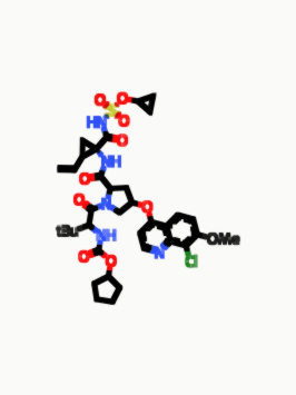 C=CC1C[C@]1(NC(=O)C1CC(Oc2ccnc3c(Cl)c(OC)ccc23)CN1C(=O)C(NC(=O)OC1CCCC1)C(C)(C)C)C(=O)NS(=O)(=O)OC1CC1